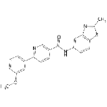 COc1cccc(-c2ccc(C(=O)Nc3ccc4sc(C)nc4c3)cn2)c1